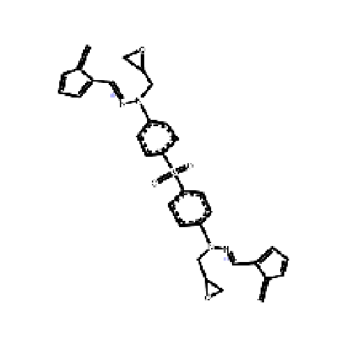 C=C1C=CC=C1/C=N/N(CC1CO1)c1ccc(S(=O)(=O)c2ccc(N(CC3CO3)/N=C/C3=CC=CC3=C)cc2)cc1